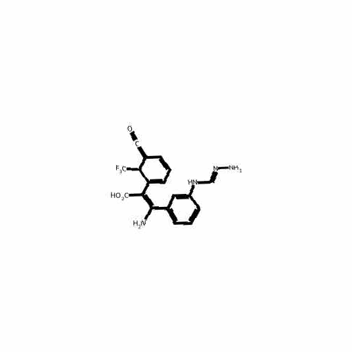 NN=CNc1cccc(C(N)=C(C(=O)O)C2=CC=CC(=C=O)C2C(F)(F)F)c1